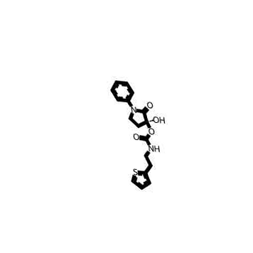 O=C(NCCc1cccs1)O[C@@]1(O)CCN(c2ccccc2)C1=O